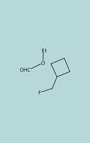 CCOC=O.FCC1CCC1